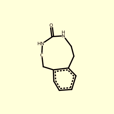 O=C1NCCc2ccccc2CCN1